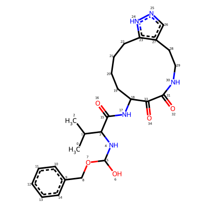 CC(C)C(NC(O)OCc1ccccc1)C(=O)NC1CCCCc2[nH]ncc2CCNC(=O)C1=O